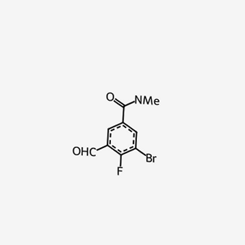 CNC(=O)c1cc(Br)c(F)c(C=O)c1